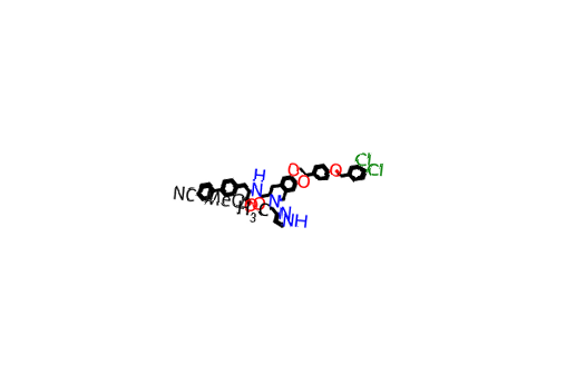 COC(=O)C(Cc1ccc(-c2ccc(C#N)cc2)cc1)NC(=O)C1Cc2cc3c(cc2CN1C(C)c1cc[nH]n1)OC(c1ccc(OCc2ccc(Cl)c(Cl)c2)cc1)CO3